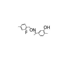 C/C(=N\OCc1ccc(C)cc1F)c1ccc(C)c(O)c1